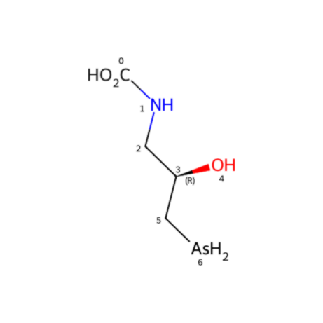 O=C(O)NC[C@@H](O)C[AsH2]